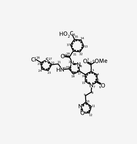 COC(=O)c1cc(=O)n(CCc2ccon2)cc1-c1cc(NCc2ccc(Cl)s2)n(C(=O)c2cccc(C(=O)O)c2)n1